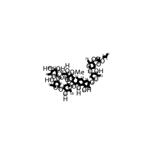 C/C=C/OC(=O)O[C@@H]1C[C@H](O[C@@H]2C[C@H](Oc3cc4cc5c(c(O)c4c(O)c3C)C(=O)[C@@H](O[C@H]3C[C@@H](O[C@H]4C[C@@H](O[C@H]6C[C@](C)(O)[C@H](O)C(C)O6)[C@@H](O)C(C)O4)[C@H](O)C(C)O3)[C@H]([C@H](OC)C(=O)[C@@H](O)[C@@H](C)O)C5)OC(C)[C@H]2O)OC(C)[C@H]1O